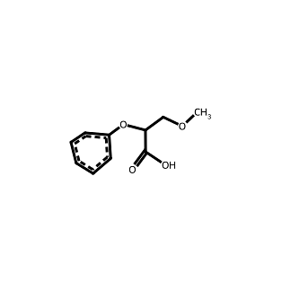 COCC(Oc1ccccc1)C(=O)O